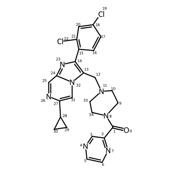 O=C(c1cnccn1)N1CCN(Cc2c(-c3ccc(Cl)cc3Cl)nc3cnc(C4CC4)cn23)CC1